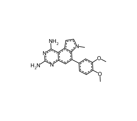 COc1ccc(-c2cc3nc(N)nc(N)c3c3ccn(C)c23)cc1OC